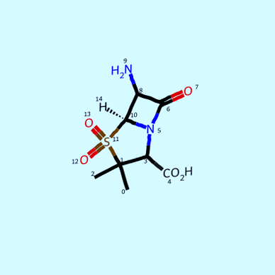 CC1(C)C(C(=O)O)N2C(=O)C(N)[C@@H]2S1(=O)=O